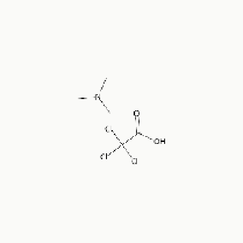 CN(C)C.O=C(O)C(Cl)(Cl)Cl